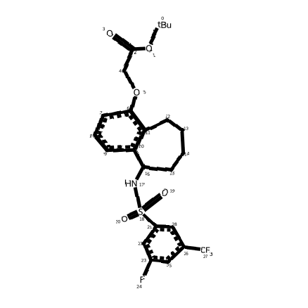 CC(C)(C)OC(=O)COc1cccc2c1CCCCC2NS(=O)(=O)c1cc(F)cc(C(F)(F)F)c1